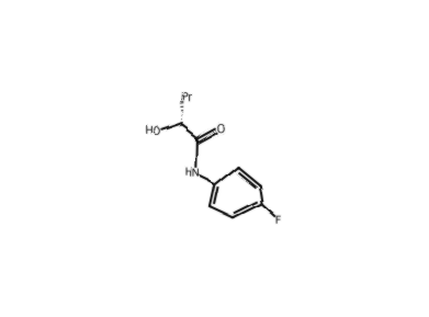 CC(C)[C@@H](O)C(=O)Nc1ccc(F)cc1